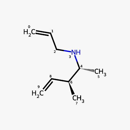 C=CCN[C@H](C)[C@@H](C)C=C